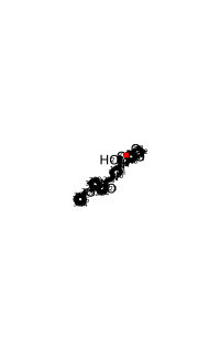 O=C(O)N(Cc1ccc2c(c1)OCCO2)C1CCN(CCn2c(=O)ccc3c(OCc4ccccc4)cccc32)CC1